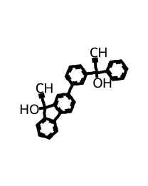 C#CC(O)(c1ccccc1)c1cccc(-c2ccc3c(c2)C(O)(C#C)c2ccccc2-3)c1